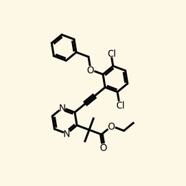 CCOC(=O)C(C)(C)c1nccnc1C#Cc1c(Cl)ccc(Cl)c1OCc1ccccc1